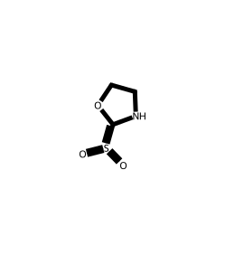 O=S(=O)=C1NCCO1